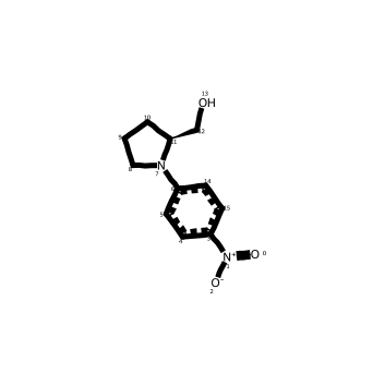 O=[N+]([O-])c1ccc(N2CCC[C@H]2CO)cc1